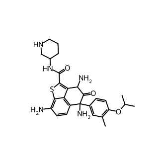 Cc1cc(C2(N)C(=O)C(N)c3c(C(=O)NC4CCCNC4)sc4c(N)ccc2c34)ccc1OC(C)C